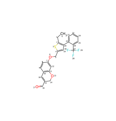 CCc1sc(COc2ccc3c(c2)OCC(C=O)=C3)cc1-c1ccccc1C(F)(F)F